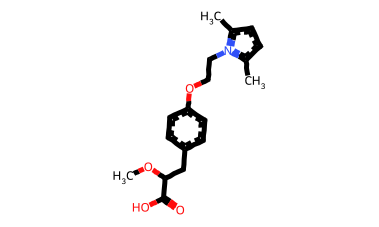 COC(Cc1ccc(OCCn2c(C)ccc2C)cc1)C(=O)O